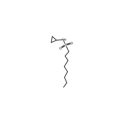 CCCCCCCCS(=O)(=O)NC1CC1